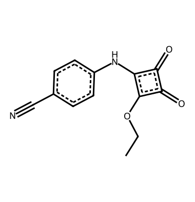 CCOc1c(Nc2ccc(C#N)cc2)c(=O)c1=O